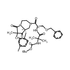 CC(C)(C)OC(=O)NC(C)(C)C(=O)N[C@H](COCc1ccccc1)C(=O)N1CCN2C(=O)C(C)(C)C(=O)[C@]2(Cc2ccc(F)cc2)C1